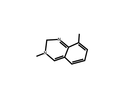 Cc1cccc2c1=NCN(C)C=2